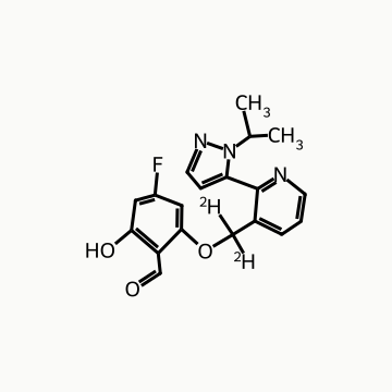 [2H]C([2H])(Oc1cc(F)cc(O)c1C=O)c1cccnc1-c1ccnn1C(C)C